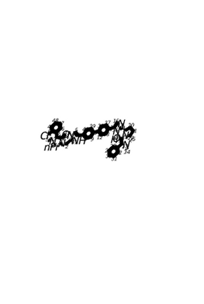 CCCN(Cc1ncc(-c2ccc(-c3ccc(-c4cnc([C@@H]5CCCN5C(=O)[C@@H](c5ccccc5)N(C)C)[nH]4)cc3)cc2)[nH]1)C(=O)[C@@H](c1ccccc1Cl)N(C)C